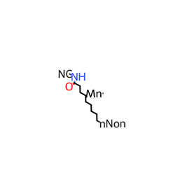 CCCCCCCCCCCCCCCCCC(=O)NC#N.[Mn]